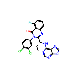 CC[C@@H](Nc1ncnc2[nH]cnc12)c1nc2cccc(F)c2c(=O)n1-c1ccc(Cl)c(Cl)c1